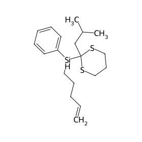 C=CCCC[SiH](c1ccccc1)C1(CC(C)C)SCCCS1